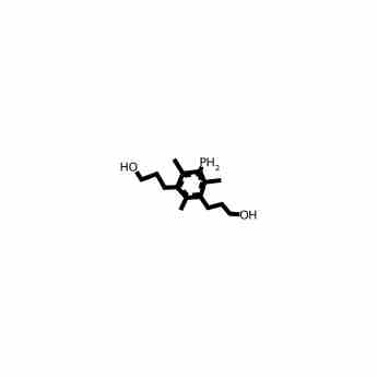 Cc1c(P)c(C)c(CCCO)c(C)c1CCCO